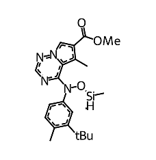 COC(=O)c1cn2ncnc(N(O[SiH](C)C)c3ccc(C)c(C(C)(C)C)c3)c2c1C